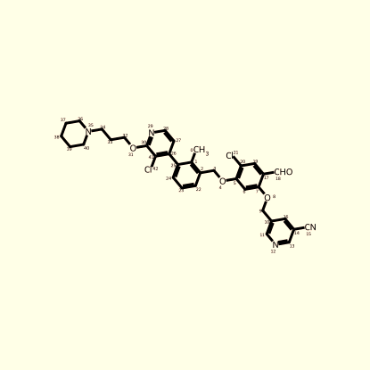 Cc1c(COc2cc(OCc3cncc(C#N)c3)c(C=O)cc2Cl)cccc1-c1ccnc(OCCCN2CCCCC2)c1Cl